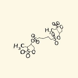 CC1C(OS(=O)(=O)CCCCS(=O)(=O)OC2COS(=O)(=O)C2C)COS1(=O)=O